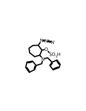 [N-]=[N+]=NC1CCCCC(N(Cc2ccccc2)Cc2ccccc2)C1OS(=O)(=O)O